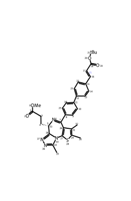 COC(=O)CC[C@@H]1N=C(c2ccc(-c3ccc(/C=C/C(=O)OC(C)(C)C)cc3)cc2)c2c(sc(C)c2C)-n2c(C)nnc21